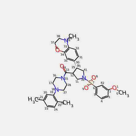 COc1cccc(S(=O)(=O)N2CC(C(=O)N3CCN(c4cc(C)ccc4C)CC3)[C@H](c3ccc4c(c3)OCCN4C)C2)c1